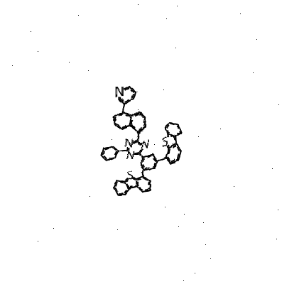 c1ccc(-c2nc(-c3cc(-c4cccc5c4sc4ccccc45)cc(-c4cccc5c4sc4ccccc45)c3)nc(-c3cccc4c(-c5cccnc5)cccc34)n2)cc1